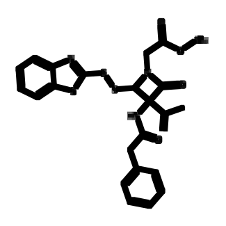 C=C(C)C1(NC(=O)Cc2ccccc2)C(=O)N(CC(=O)OC(C)(C)C)C1SSc1nc2ccccc2s1